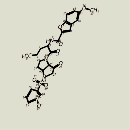 CCCC(NC(=O)c1cc2cc(OC)ccc2o1)C(=O)N1CCC2C1C(=O)CN2S(=O)(=O)c1ccc[n+]([O-])c1